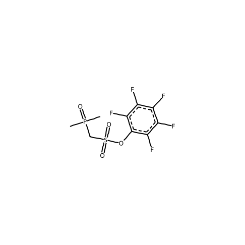 CP(C)(=O)CS(=O)(=O)Oc1c(F)c(F)c(F)c(F)c1F